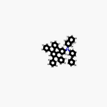 c1ccc(-c2cccc(N(c3ccc4ccccc4c3)c3ccc4c(c3)c3ccccc3c3c(-c5ccccc5)cc(-c5ccccc5)c(-c5ccccc5)c43)c2)cc1